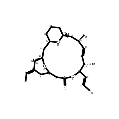 C/C=C1\CC2CC(=O)OC(/C=C/I)[C@@H](C)/C=C/[C@H](C)C[C@H]3CCCC(C[C@@H](C1)O2)O3